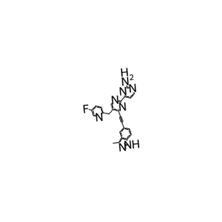 Cc1n[nH]c2ccc(C#Cc3nc(-c4ccnc(N)n4)ncc3Cc3ccc(F)cn3)cc12